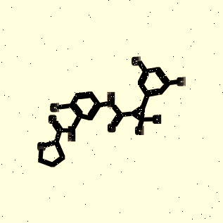 O=C(Nc1cc(NC(=O)C2C(c3cc(Cl)cc(Cl)c3)C2(Cl)Cl)ccc1Cl)C1CCCO1